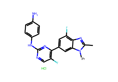 Cc1nc2c(F)cc(-c3nc(Nc4ccc(N)cc4)ncc3F)cc2n1C(C)C.Cl